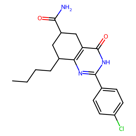 CCCCC1CC(C(N)=O)Cc2c1nc(-c1ccc(Cl)cc1)[nH]c2=O